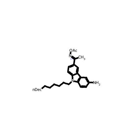 CCCCCCCCCCCCCCCCn1c2ccc(N)cc2c2cc(/C(C)=N/OC(C)=O)ccc21